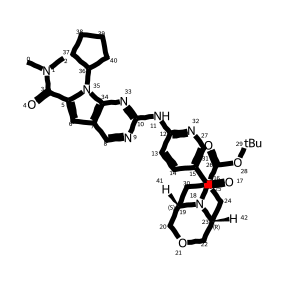 CN(C)C(=O)c1cc2cnc(Nc3ccc(C(=O)N4[C@@H]5COC[C@H]4CN(C(=O)OC(C)(C)C)C5)cn3)nc2n1C1CCCC1